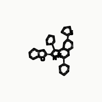 c1ccc(-c2c(-c3cc4ccccc4o3)nn3c(-c4ccccc4)cc4ccc(-c5cccs5)cc4c23)cc1